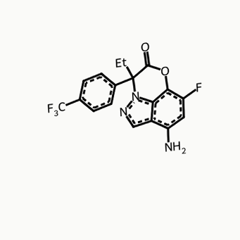 CCC1(c2ccc(C(F)(F)F)cc2)C(=O)Oc2c(F)cc(N)c3cnn1c23